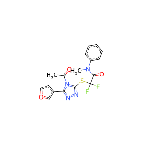 CC(=O)n1c(SC(F)(F)C(=O)N(C)c2ccccc2)nnc1-c1ccoc1